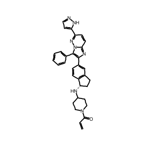 C=CC(=O)N1CCC(N[C@H]2CCc3cc(-c4nc5ccc(-c6ccn[nH]6)nn5c4-c4ccccc4)ccc32)CC1